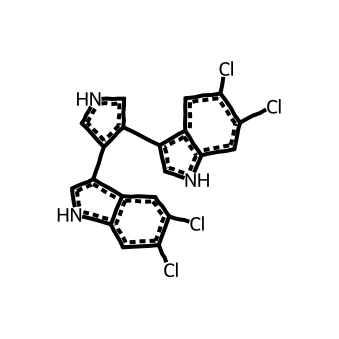 Clc1cc2[nH]cc(-c3c[nH]cc3-c3c[nH]c4cc(Cl)c(Cl)cc34)c2cc1Cl